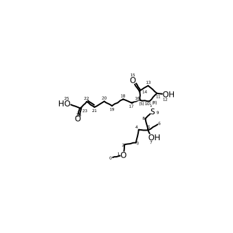 COCCCC(C)(O)CS[C@H]1C(O)CC(=O)[C@@H]1CCCCC=CC(=O)O